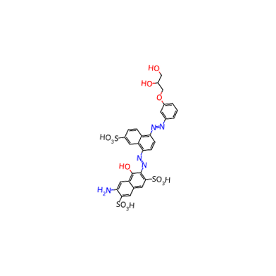 Nc1cc2c(O)c(/N=N/c3ccc(/N=N/c4cccc(OCC(O)CO)c4)c4ccc(S(=O)(=O)O)cc34)c(S(=O)(=O)O)cc2cc1S(=O)(=O)O